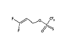 O=S(=S)(OCC=C(F)F)C(F)(F)F